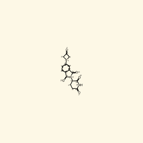 O=C1CN(c2ccc3c(c2)C(=O)N(C2CCC(=O)NC2=O)C3=O)C1